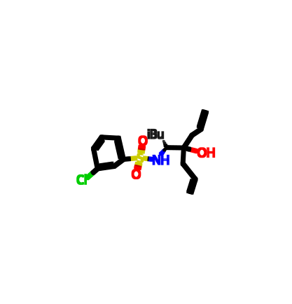 C=CCC(O)(CC=C)[C@@H](NS(=O)(=O)c1cccc(Cl)c1)[C@@H](C)CC